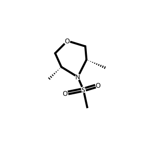 C[C@@H]1COC[C@H](C)N1S(C)(=O)=O